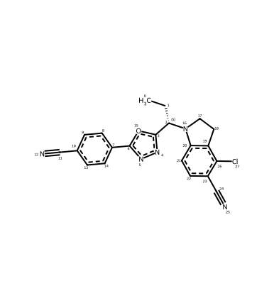 CC[C@@H](c1nnc(-c2ccc(C#N)cc2)o1)N1CCc2c1ccc(C#N)c2Cl